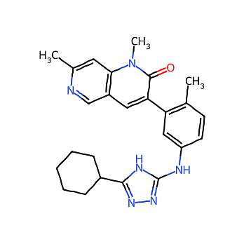 Cc1cc2c(cn1)cc(-c1cc(Nc3nnc(C4CCCCC4)[nH]3)ccc1C)c(=O)n2C